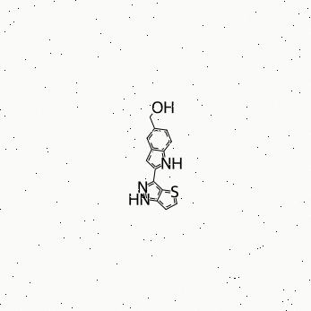 OCc1ccc2[nH]c(-c3n[nH]c4ccsc34)cc2c1